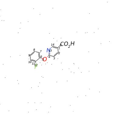 O=C(O)c1ccc(Oc2ccccc2F)nc1